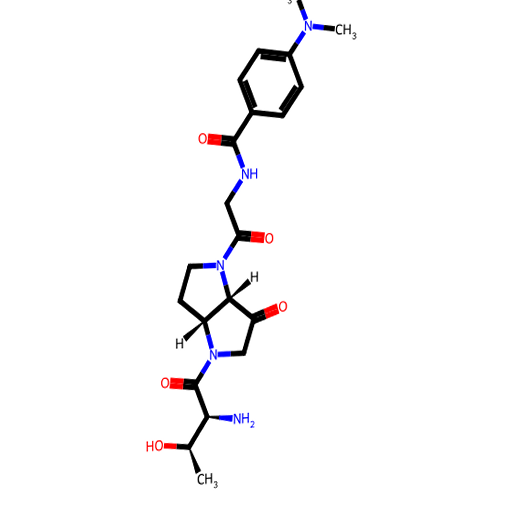 C[C@@H](O)[C@H](N)C(=O)N1CC(=O)[C@@H]2[C@H]1CCN2C(=O)CNC(=O)c1ccc(N(C)C)cc1